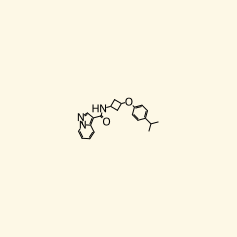 CC(C)c1ccc(OC2CC(NC(=O)c3cnn4ccccc34)C2)cc1